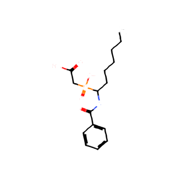 CCCCCCC(NC(=O)c1ccccc1)P(=O)(O)CC(=O)O